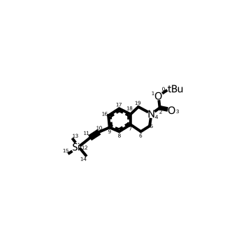 CC(C)(C)OC(=O)N1CCc2cc(C#C[Si](C)(C)C)ccc2C1